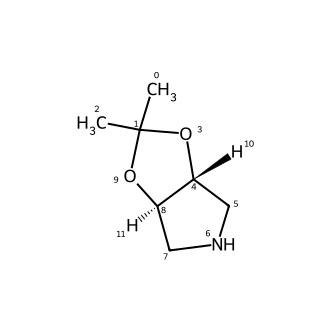 CC1(C)O[C@@H]2CNC[C@H]2O1